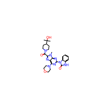 Cn1c(C(=O)N2CCC(C(C)(C)O)CC2)nc2c(N3CCOCC3)nc(-n3c(=O)[nH]c4ccccc43)nc21